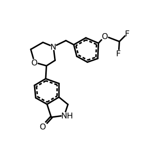 O=C1NCc2cc(C3CN(Cc4cccc(OC(F)F)c4)CCO3)ccc21